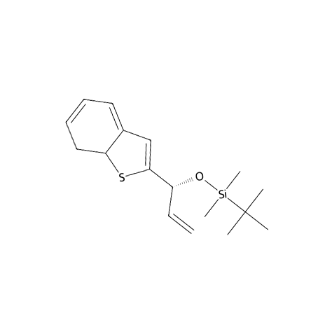 C=C[C@@H](O[Si](C)(C)C(C)(C)C)C1=CC2=CC=CCC2S1